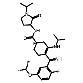 CC(C)NC1=C(C(=N)c2cc(OC(F)F)ccc2F)CC[C@@H](C(=O)NC2CCN(C(C)C)C2=O)C1